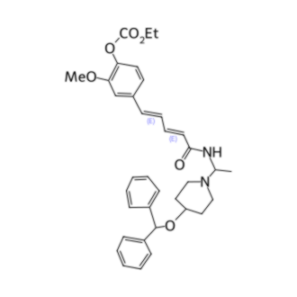 CCOC(=O)Oc1ccc(/C=C/C=C/C(=O)NC(C)N2CCC(OC(c3ccccc3)c3ccccc3)CC2)cc1OC